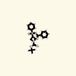 CC(C)(C)OC(=O)N1CC(S(=O)(=NC(=O)c2ccccc2)c2ccccc2)C1